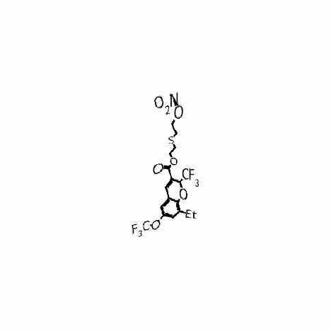 CCc1cc(OC(F)(F)F)cc2c1O[C@H](C(F)(F)F)C(C(=O)OCCSCCO[N+](=O)[O-])=C2